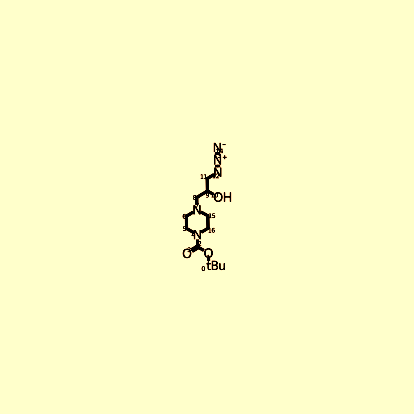 CC(C)(C)OC(=O)N1CCN(CC(O)CN=[N+]=[N-])CC1